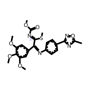 COC(=O)/N=C(\SC)C(=Nc1ccc(-c2noc(C)n2)cc1)c1cc(OC)c(OC)c(OC)c1